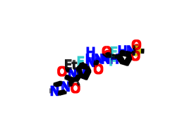 CCC(=O)NC(C)(C(=O)N1CCN(C)CC1)[C@@H](C)c1ccc(NC(=O)NNC(=O)C(F)(F)c2cccc(NS(C)(=O)=O)c2)c(F)c1